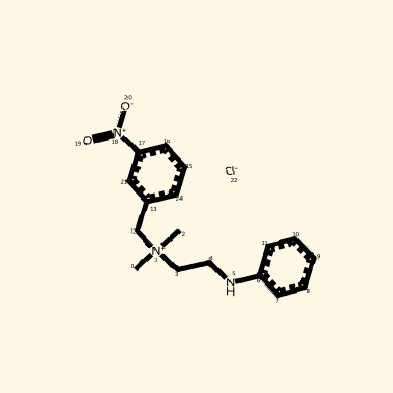 C[N+](C)(CCNc1ccccc1)Cc1cccc([N+](=O)[O-])c1.[Cl-]